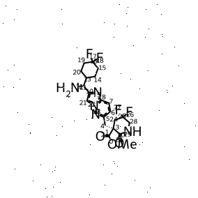 COC(=O)[C@@]1(Cc2ccc3nc([C@@H](N)C4CCC(F)(F)CC4)cn3n2)CC(F)(F)CNC1=O